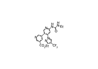 CCNC(=O)Nc1cc(-n2cc(C(F)(F)F)cn2)c(-c2cncc(C(=O)OCC)c2)cn1